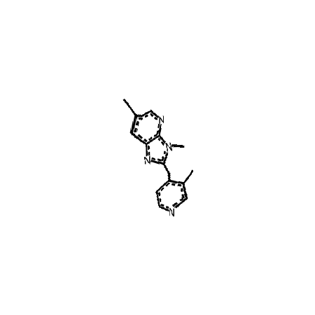 Cc1cnc2c(c1)nc(-c1ccncc1C)n2C